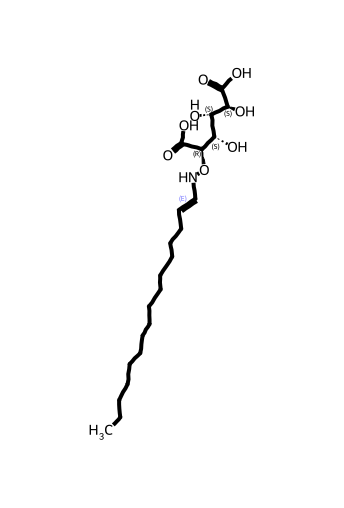 CCCCCCCCCCCCCC/C=C/NO[C@@H](C(=O)O)[C@@H](O)[C@H](O)[C@H](O)C(=O)O